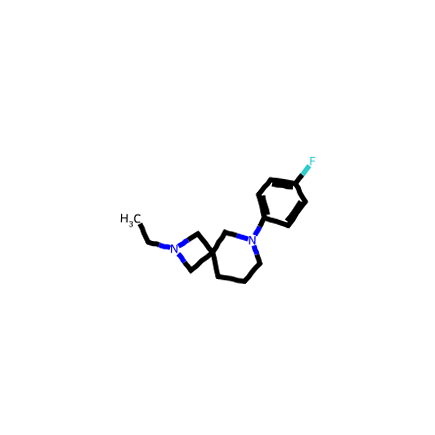 CCN1CC2(CCCN(c3ccc(F)cc3)C2)C1